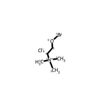 C[N+](C)(C)CCOBr.[Cl-]